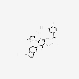 Cc1cc(C)n(-c2nc3c(c(=O)n2-c2ccc4c(ccn4C)c2)CC(C)N(C(=O)c2ccc(Br)c(C)c2)C3)n1